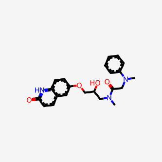 CN(CC(O)COc1ccc2[nH]c(=O)ccc2c1)C(=O)CN(C)c1ccccc1